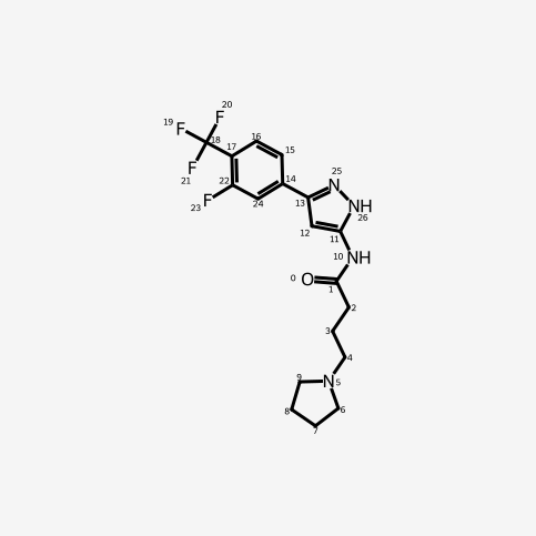 O=C(CCCN1CCCC1)Nc1cc(-c2ccc(C(F)(F)F)c(F)c2)n[nH]1